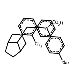 Cc1c(C2C3CCC2CN(Cc2ccccc2)C3)cccc1N(C(=O)O)c1ccc(C(C)(C)C)cc1